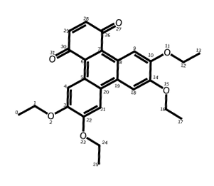 CCOc1cc2c3c(c4cc(OCC)c(OCC)cc4c2cc1OCC)C(=O)C=CC3=O